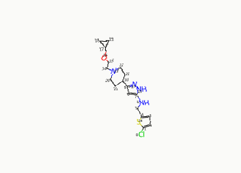 Clc1ccc(CNc2cc(C3CCN(CCOC4CC4)CC3)n[nH]2)s1